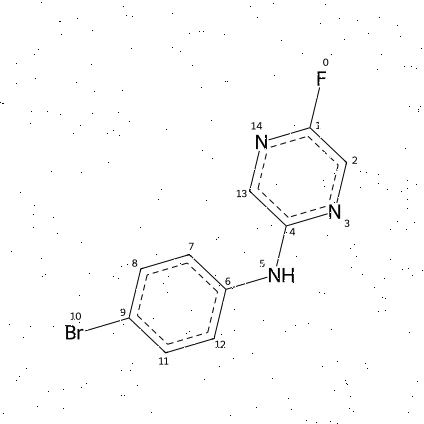 Fc1cnc(Nc2ccc(Br)cc2)cn1